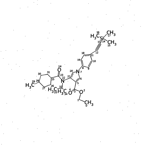 CCOC(=O)c1cn(-c2ccc(C#C[Si](C)(C)C)cc2)cc1N(C(=O)C1CCC(C)CC1)C(C)C